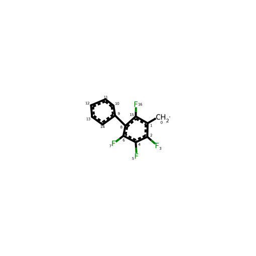 [CH2]c1c(F)c(F)c(F)c(-c2ccccc2)c1F